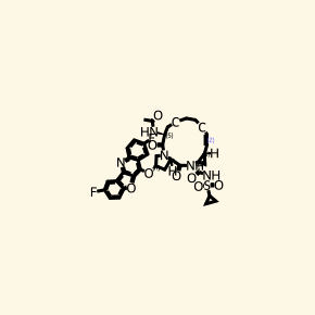 CC(=O)N[C@H]1CCCCC/C=C\[C@@H]2C[C@@]2(C(=O)NS(=O)(=O)C2CC2)NC(=O)[C@@H]2C[C@@H](Oc3c4cc(F)ccc4nc4c3oc3ccc(F)cc34)CN2C1=O